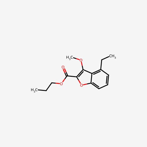 CCCOC(=O)c1oc2cccc(CC)c2c1OC